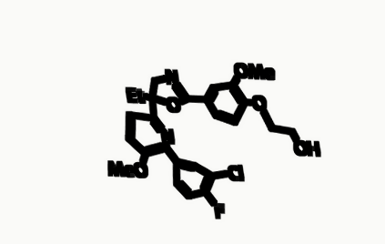 CCC1(c2ccc(OC)c(-c3ccc(F)c(Cl)c3)n2)CN=C(c2ccc(OCCO)c(OC)c2)O1